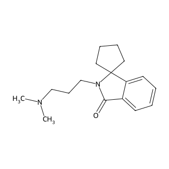 CN(C)CCCN1C(=O)c2ccccc2C12CCCC2